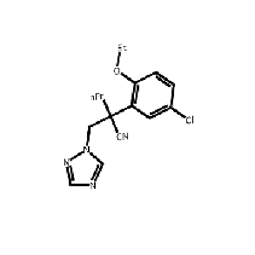 CCCC(C#N)(Cn1cncn1)c1cc(Cl)ccc1OCC